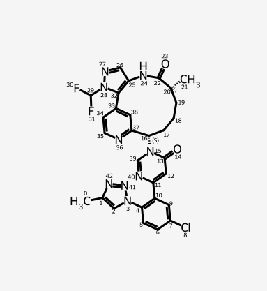 Cc1cn(-c2ccc(Cl)cc2-c2cc(=O)n([C@H]3CCC[C@@H](C)C(=O)Nc4cnn(C(F)F)c4-c4ccnc3c4)cn2)nn1